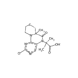 CC(C)(C(=O)O)N1C(=O)C2(C)COCCN2c2nc(Cl)ncc21